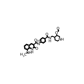 CNc1cccc2cc(C(=O)Nc3ccc(C(=O)NCC4CCNCC4OC=O)cc3)c(=O)[nH]c12